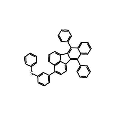 c1ccc(Sc2cccc(-c3ccc4c5c(cccc35)-c3c-4c(-c4ccccc4)c4ccccc4c3-c3ccccc3)c2)cc1